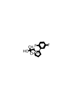 [CH2]C(C)(O)CN1CCC[C@@H]1c1cc(F)ccc1F